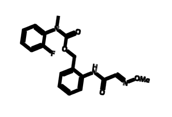 CON=CC(=O)Nc1ccccc1COC(=O)N(C)c1ccccc1F